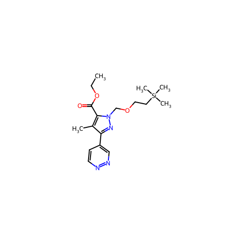 CCOC(=O)c1c(C)c(-c2ccnnc2)nn1COCC[Si](C)(C)C